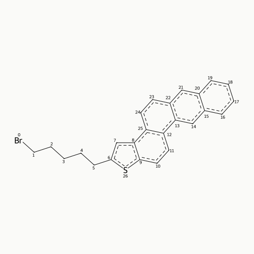 BrCCCCCc1cc2c(ccc3c4cc5ccccc5cc4ccc23)s1